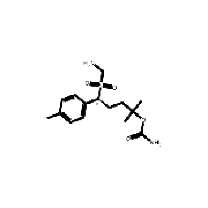 Cc1ccc([C@H](CCC(C)(C)OC(N)=O)S(=O)(=O)CN)cc1